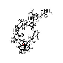 CC(C)C[C@@H]1NC(=O)C(NC(=O)[C@H](CCCNC(N)=O)NC(=O)C(C)C)[C@H](C)OC(=O)[C@H](C(C)C)NC(=O)[C@H](Cc2ccc(O)cc2)N(C)C(=O)[C@H](Cc2ccccc2)N2C(=O)C(CC[C@@H]2O)NC1=O